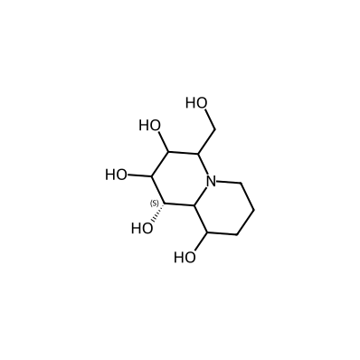 OCC1C(O)C(O)[C@@H](O)C2C(O)CCCN12